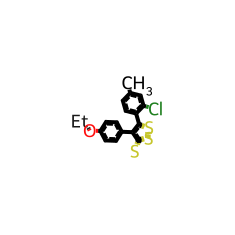 CCOc1ccc(-c2c(-c3ccc(C)cc3Cl)ssc2=S)cc1